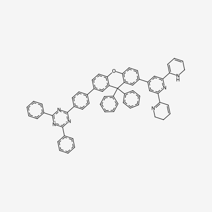 C1=CCNC(c2cc(-c3ccc4c(c3)C(c3ccccc3)(c3ccccc3)c3cc(-c5ccc(-c6nc(-c7ccccc7)nc(-c7ccccc7)n6)cc5)ccc3O4)cc(C3=NCCC=C3)n2)=C1